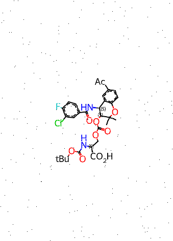 CC(=O)c1ccc2c(c1)[C@H](NC(=O)c1ccc(F)c(Cl)c1)[C@H](OC(=O)OC[C@H](NC(=O)OC(C)(C)C)C(=O)O)C(C)(C)O2